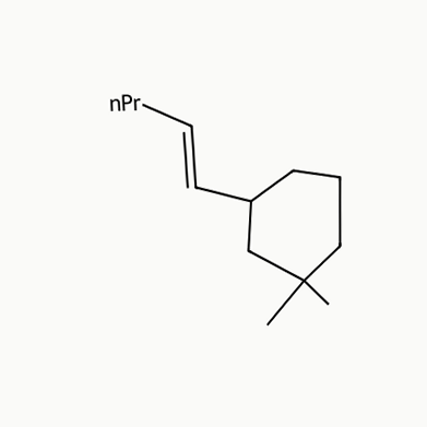 CCCC=CC1CCCC(C)(C)C1